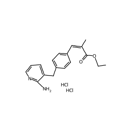 CCOC(=O)C(C)=Cc1ccc(Cc2cccnc2N)cc1.Cl.Cl